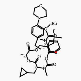 C[C@@H](OC(=O)[C@H](CC1CC1)N(C)C(=O)OC(=O)[C@](CCc1ccc(N2CCOCC2)cc1)(CC(C)(C)F)N(C)C(=O)OC(C)(C)C)C(=O)OCc1ccccc1